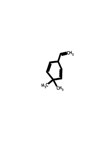 C=CC1C=CC(C)(C)C=C1